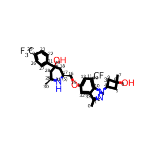 Cc1nn(C2CC(C)(O)C2)c2c(C(F)(F)F)cc(OC[C@@H]3C[C@](O)(c4ccc(C(F)(F)F)cc4)C[C@H](C)N3)cc12